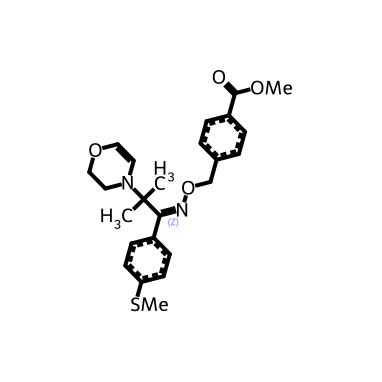 COC(=O)c1ccc(CO/N=C(/c2ccc(SC)cc2)C(C)(C)N2C=COCC2)cc1